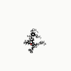 C.CCOC(=O)c1cc(-c2cnc(Nc3cc(OC)cc(OC)c3)nc2-n2nc(C(F)(F)F)cc2C)cnc1OCC=S(=O)=O